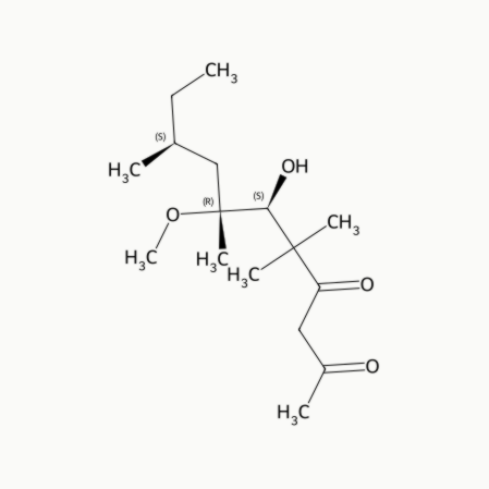 CC[C@H](C)C[C@@](C)(OC)[C@@H](O)C(C)(C)C(=O)CC(C)=O